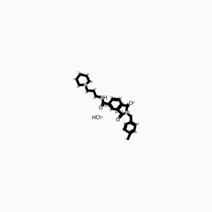 Cc1ccc(CN2C(=O)c3ccc(C(=O)NCCCN4CCCCC4)cc3C2=O)cc1.Cl